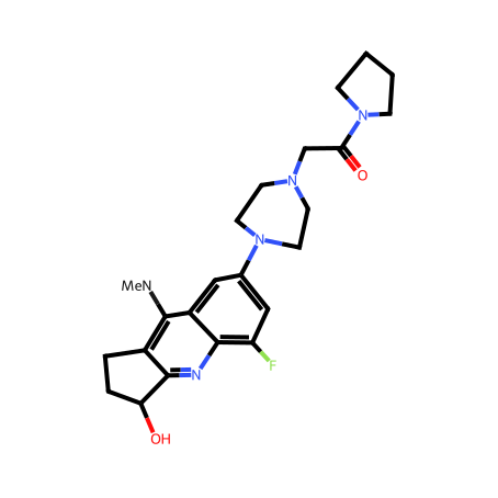 CNc1c2c(nc3c(F)cc(N4CCN(CC(=O)N5CCCC5)CC4)cc13)C(O)CC2